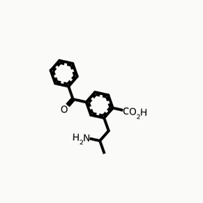 CC(N)Cc1cc(C(=O)c2ccccc2)ccc1C(=O)O